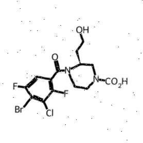 O=C(O)N1CCN(C(=O)c2cc(F)c(Br)c(Cl)c2F)[C@@H](CCO)C1